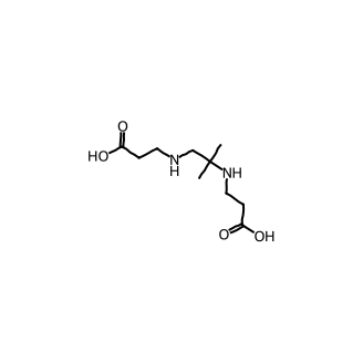 CC(C)(CNCCC(=O)O)NCCC(=O)O